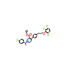 [CH2]C(c1ccc(F)cc1)N1CCC(c2ccc(CCCOc3c(F)ccc(F)c3F)cc2)=C(C(=O)OC2CC2)C1